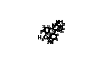 Cn1cnc2ccc(-c3c(-c4ccc(F)cc4)nc(N)c4nccn34)cc21